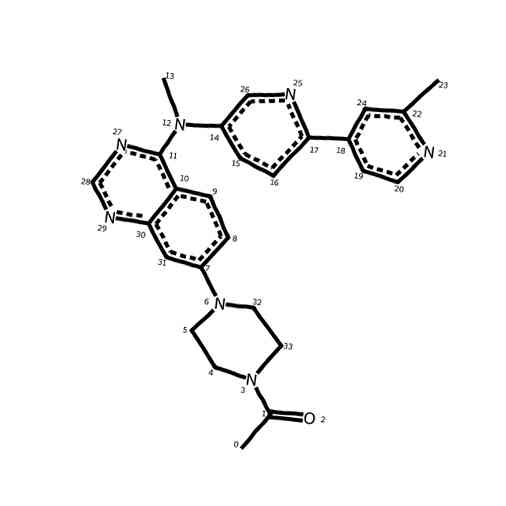 CC(=O)N1CCN(c2ccc3c(N(C)c4ccc(-c5ccnc(C)c5)nc4)ncnc3c2)CC1